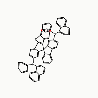 c1ccc(N(c2ccc3c(c2)C2(c4ccccc4-3)c3cc(N(c4ccccc4)c4cccc5ccccc45)ccc3-c3sc4ccccc4c32)c2cccc3ccccc23)cc1